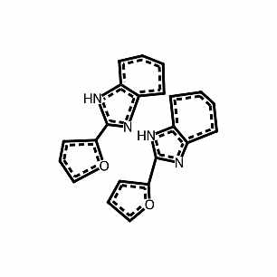 c1coc(-c2nc3ccccc3[nH]2)c1.c1coc(-c2nc3ccccc3[nH]2)c1